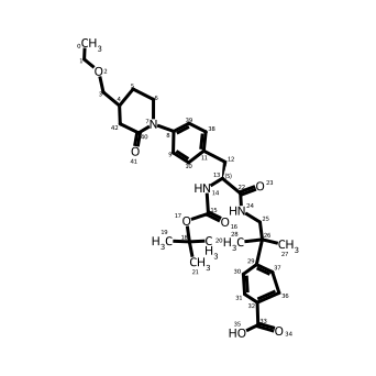 CCOCC1CCN(c2ccc(C[C@H](NC(=O)OC(C)(C)C)C(=O)NCC(C)(C)c3ccc(C(=O)O)cc3)cc2)C(=O)C1